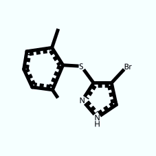 Cc1cccc(C)c1Sc1n[nH]cc1Br